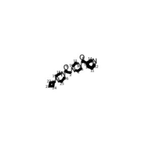 O=C(CN1CCN(C(=O)c2cccnc2)CC1)N1CCN(C2CCC2)CC1